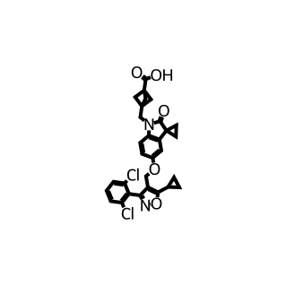 O=C(O)C12CC(CN3C(=O)C4(CC4)c4cc(OCc5c(-c6c(Cl)cccc6Cl)noc5C5CC5)ccc43)(C1)C2